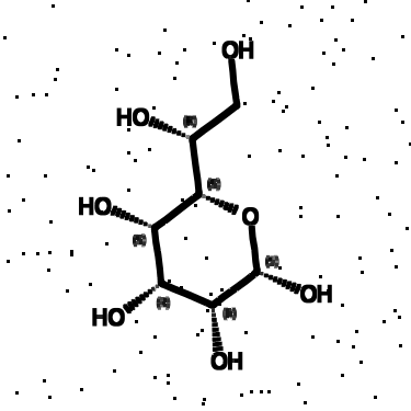 OC[C@@H](O)[C@@H]1O[C@H](O)[C@H](O)[C@H](O)[C@@H]1O